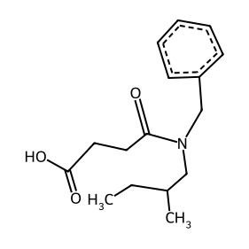 CCC(C)CN(Cc1ccccc1)C(=O)CCC(=O)O